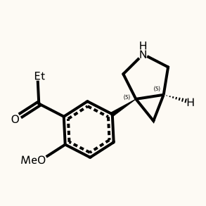 CCC(=O)c1cc([C@@]23CNC[C@H]2C3)ccc1OC